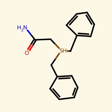 NC(=O)C[SH](Cc1ccccc1)Cc1ccccc1